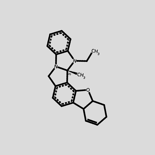 CCN1c2ccccc2N2Cc3ccc4c(c3[C@@]12C)OC1CCC=CC41